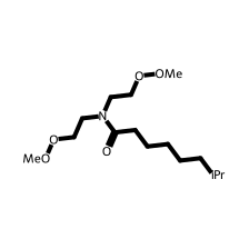 COOCCN(CCOOC)C(=O)CCCCCC(C)C